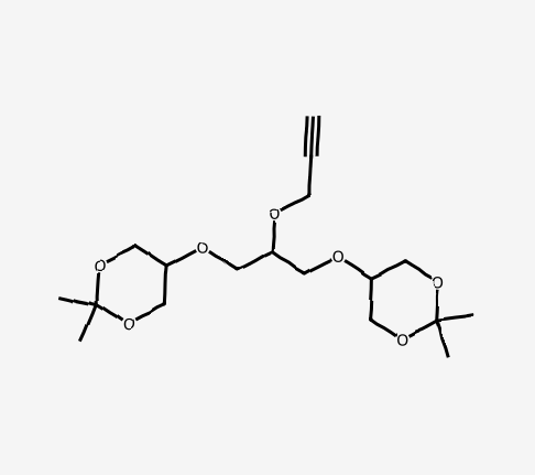 C#CCOC(COC1COC(C)(C)OC1)COC1COC(C)(C)OC1